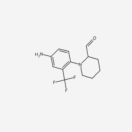 Nc1ccc(N2CCCCC2C=O)c(C(F)(F)F)c1